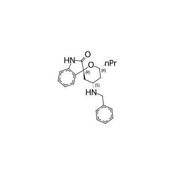 CCC[C@@H]1C[C@H](NCc2ccccc2)C[C@]2(O1)C(=O)Nc1ccccc12